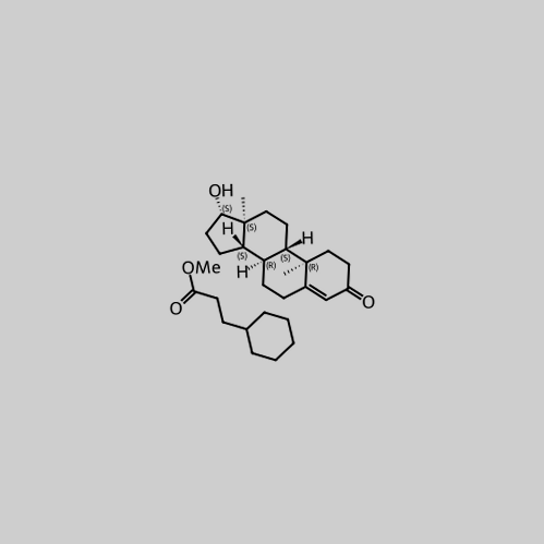 COC(=O)CCC1CCCCC1.C[C@]12CC[C@H]3[C@@H](CCC4=CC(=O)CC[C@@]43C)[C@@H]1CC[C@@H]2O